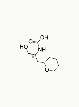 O=C(O)N[C@H](CO)CC1CCCCO1